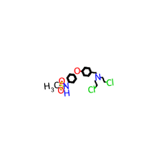 CS(=O)(=O)Nc1ccc(Oc2ccc(CN(CCCl)CCCl)cc2)cc1